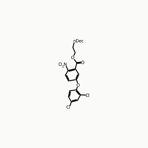 CCCCCCCCCCCCOC(=O)c1cc(Oc2ccc(Cl)cc2Cl)ccc1[N+](=O)[O-]